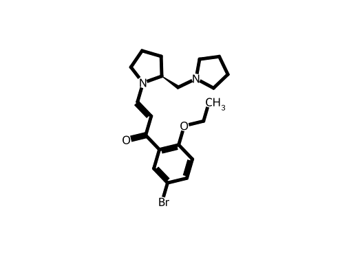 CCOc1ccc(Br)cc1C(=O)/C=C/N1CCC[C@H]1CN1CCCC1